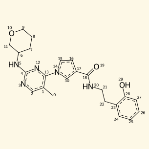 Cc1cnc(NC2CCCOC2)nc1-n1ccc(C(=O)NCCc2ccccc2O)c1